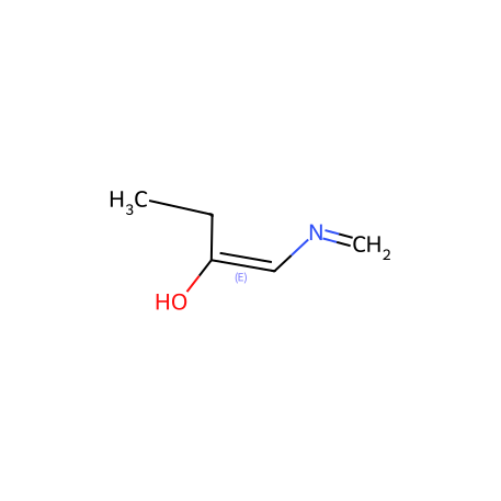 C=N/C=C(/O)CC